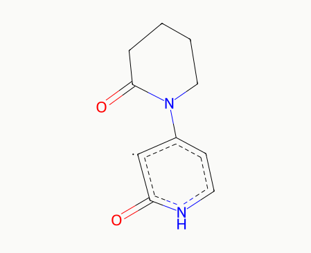 O=C1CCCCN1c1[c]c(=O)[nH]cc1